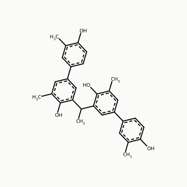 Cc1cc(-c2cc(C)c(O)c(C(C)c3cc(-c4ccc(O)c(C)c4)cc(C)c3O)c2)ccc1O